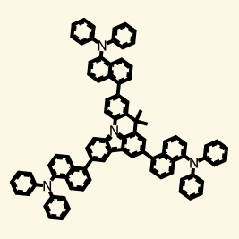 CC1(C)c2cc(-c3cccc4c(N(c5ccccc5)c5ccccc5)cccc34)ccc2-n2c3ccc(-c4cccc5c(N(c6ccccc6)c6ccccc6)cccc45)cc3c3cc(-c4cccc5c(N(c6ccccc6)c6ccccc6)cccc45)cc1c32